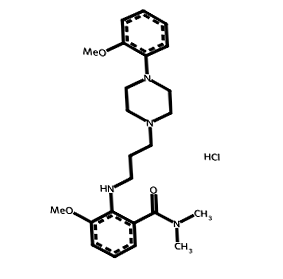 COc1ccccc1N1CCN(CCCNc2c(OC)cccc2C(=O)N(C)C)CC1.Cl